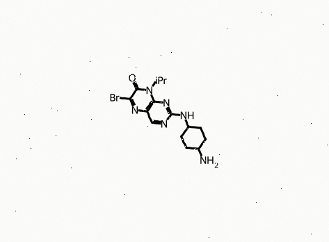 CC(C)n1c(=O)c(Br)nc2cnc(NC3CCC(N)CC3)nc21